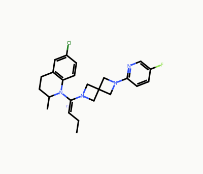 CC/C=C(\N1CC2(C1)CN(c1ccc(F)cn1)C2)N1c2ccc(Cl)cc2CCC1C